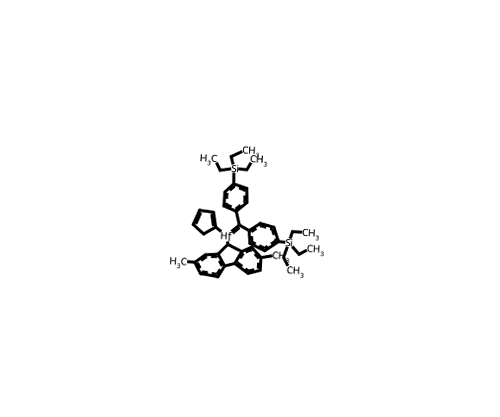 CC[Si](CC)(CC)c1ccc([C](c2ccc([Si](CC)(CC)CC)cc2)=[Hf]([C]2=CC=CC2)[CH]2c3cc(C)ccc3-c3ccc(C)cc32)cc1